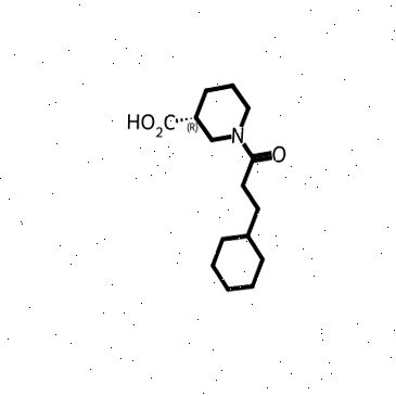 O=C(O)[C@@H]1CCCN(C(=O)CCC2CCCCC2)C1